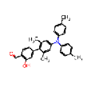 Cc1ccc(N(c2ccc(C)cc2)c2cc(C)c(-c3ccc(C=O)c(O)c3)c(C)c2)cc1